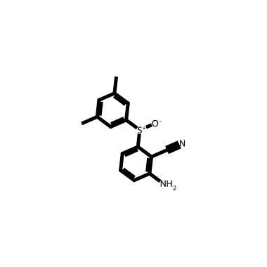 Cc1cc(C)cc([S+]([O-])c2cccc(N)c2C#N)c1